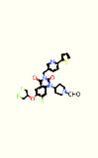 O=CN1CCC(n2c(=O)n(Cc3ccc(-c4cccs4)nc3)c(=O)c3cc(OC(CF)CF)c(F)cc32)CC1